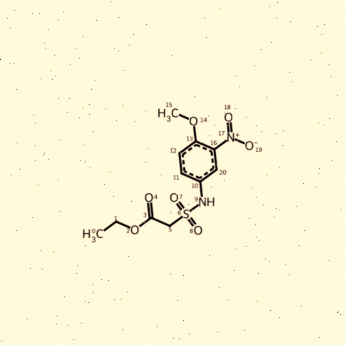 CCOC(=O)CS(=O)(=O)Nc1ccc(OC)c([N+](=O)[O-])c1